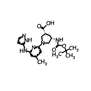 Cc1cc(Nc2ccn[nH]2)nc(N2C[C@@H](NC(=O)OC(C)(C)C)C[C@@H](C(=O)O)C2)c1